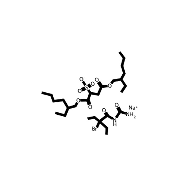 CCC(Br)(CC)C(=O)NC(N)=O.CCCCC(CC)COC(=O)CC(C(=O)OCC(CC)CCCC)S(=O)(=O)[O-].[Na+]